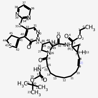 CCOC(=O)[C@@]12C[C@H]1/C=C\CCCCC[C@H](NC(=O)OC(C)(C)C)C(=O)N1C[C@H](n3ncc(Sc4ncccn4)c(C4=CSCC4)c3=O)C[C@H]1C(=O)N2